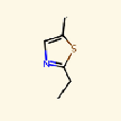 [CH2]c1cnc(CC)s1